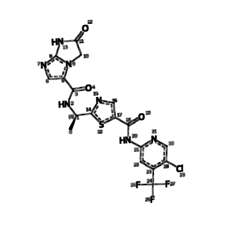 C[C@@H](NC(=O)c1cnc2n1CC(=O)N2)c1ncc(C(=O)Nc2cc(C(F)(F)F)c(Cl)cn2)s1